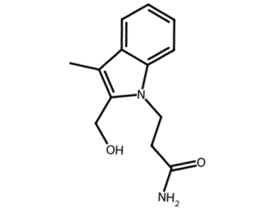 Cc1c(CO)n(CCC(N)=O)c2ccccc12